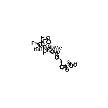 COc1cc(C(=O)N2CCC[C@@H](CC#Cc3cccc4c3CN([C@@H]3CCC(=O)NC3=O)C4=O)C2)ccc1NC(=O)[C@@H]1N[C@@H](CC(C)(C)C)[C@@]2(CNc3cc(C(C)C)ncc32)[C@H]1c1cccc(Cl)c1F